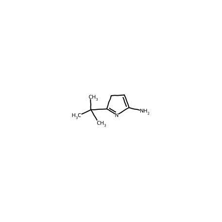 CC(C)(C)C1=NC(N)=CC1